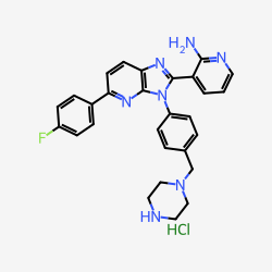 Cl.Nc1ncccc1-c1nc2ccc(-c3ccc(F)cc3)nc2n1-c1ccc(CN2CCNCC2)cc1